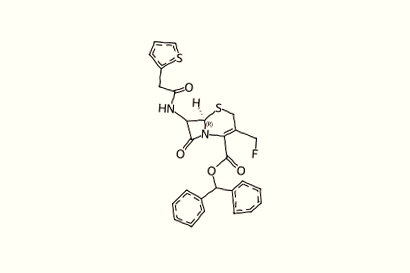 O=C(Cc1cccs1)NC1C(=O)N2C(C(=O)OC(c3ccccc3)c3ccccc3)=C(CF)CS[C@H]12